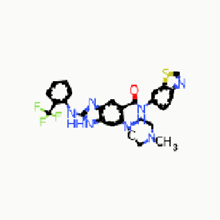 CN1CCN(c2cc3[nH]c(Nc4ccccc4C(F)(F)F)nc3cc2C(=O)Nc2ccc3ncsc3c2)CC1